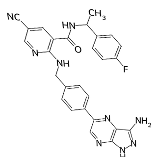 CC(NC(=O)c1cc(C#N)cnc1NCc1ccc(-c2cnc3[nH]nc(N)c3n2)cc1)c1ccc(F)cc1